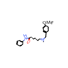 COc1ccc(CN(C)CCCCCC(=O)Nc2ccccc2)cc1